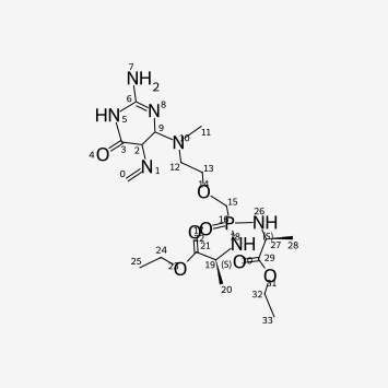 C=NC1C(=O)NC(N)=NC1N(C)CCOCP(=O)(N[C@@H](C)C(=O)OCC)N[C@@H](C)C(=O)OCC